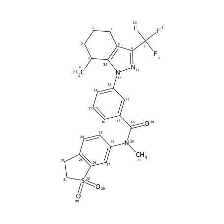 CC1CCCc2c(C(F)(F)F)nn(-c3cccc(C(=O)N(C)c4ccc5c(c4)S(=O)(=O)CC5)c3)c21